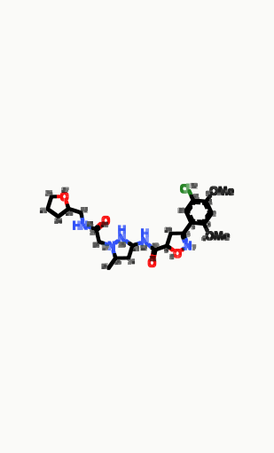 COc1cc(OC)c(C2=NOC(C(=O)NC3CC(C)N(CC(=O)NCC4CCCO4)N3)C2)cc1Cl